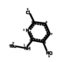 CC(C)(C)Nc1nc(Cl)ccc1N=O